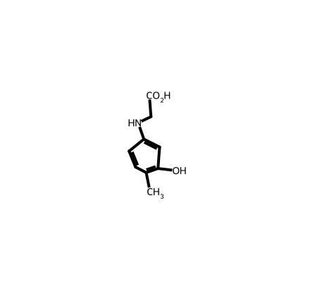 Cc1ccc(NCC(=O)O)cc1O